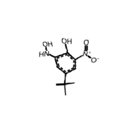 CC(C)(C)c1cc(NO)c(O)c([N+](=O)[O-])c1